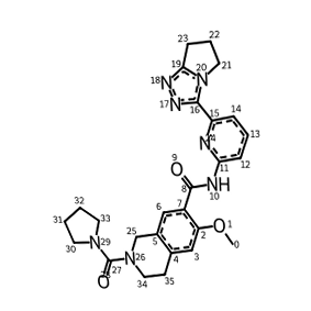 COc1cc2c(cc1C(=O)Nc1cccc(-c3nnc4n3CCC4)n1)CN(C(=O)N1CCCC1)CC2